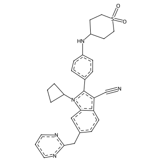 N#Cc1c(-c2ccc(NC3CCS(=O)(=O)CC3)cc2)n(C2CCC2)c2cc(Cc3ncccn3)ccc12